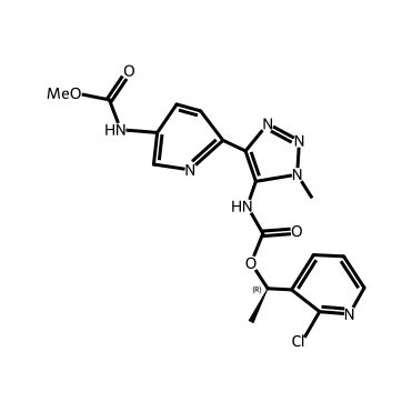 COC(=O)Nc1ccc(-c2nnn(C)c2NC(=O)O[C@H](C)c2cccnc2Cl)nc1